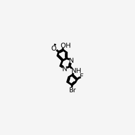 COc1cc2cnc(Nc3ccc(Br)cc3F)nc2cc1O